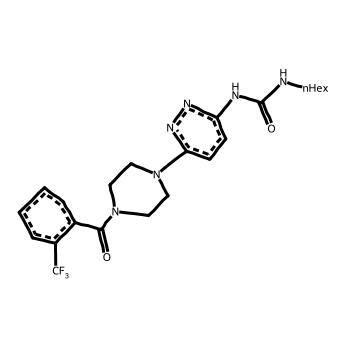 CCCCCCNC(=O)Nc1ccc(N2CCN(C(=O)c3ccccc3C(F)(F)F)CC2)nn1